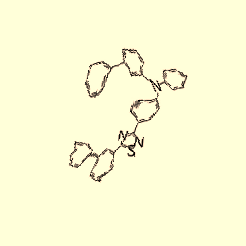 c1ccc(-c2cccc(-c3nc(-c4ccc(N(c5ccccc5)c5cccc(-c6ccccc6)c5)cc4)ns3)c2)cc1